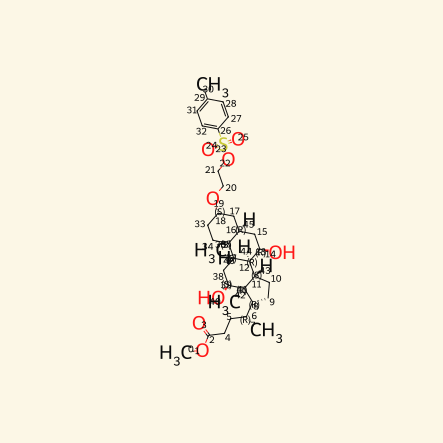 COC(=O)CC[C@@H](C)[C@H]1CC[C@H]2[C@@H]3[C@H](O)C[C@@H]4C[C@@H](OCCOS(=O)(=O)c5ccc(C)cc5)CC[C@]4(C)[C@H]3C[C@H](O)[C@]12C